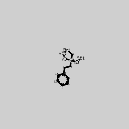 CCO[Si](CBr)(CCc1ccccc1)OCC